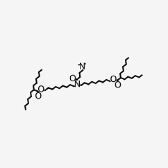 CCCCCCC(CCCCCC)C(=O)OCCCCCCCCCN(CCCCCCCCCOC(=O)C(CCCCCC)CCCCCC)C(=O)CCCN(C)C